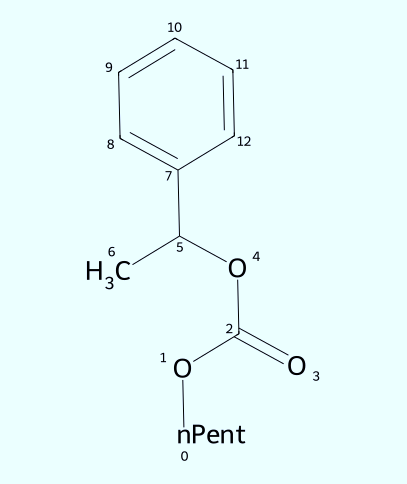 CCCCCOC(=O)OC(C)c1ccccc1